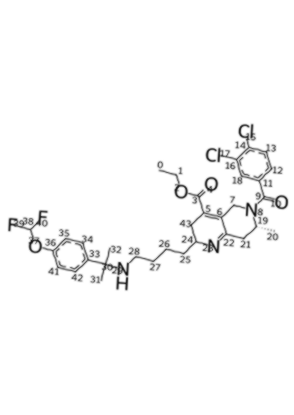 CCOC(=O)C1=C2CN(C(=O)c3ccc(Cl)c(Cl)c3)[C@H](C)CC2=NC(CCCCNC(C)(C)c2ccc(OC(F)F)cc2)C1